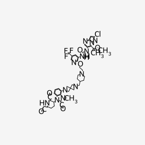 CO[C@@H](C)c1c(NC(=O)Nc2cc(C(F)(F)F)cnc2OCCN2CCC(CN3CC4(C3)CN(c3cccc5c3N(C)C(=C=O)N5C3CCC(=C=O)NC3=C=O)C4)CC2)cnc2cc(Cl)nn12